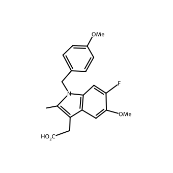 COc1ccc(Cn2c(C)c(CC(=O)O)c3cc(OC)c(F)cc32)cc1